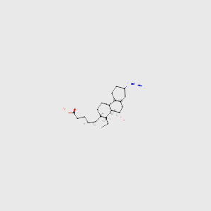 COC(=O)CC[C@@H](C)[C@H]1CC[C@H]2[C@@H]3[C@H](O)C[C@@H]4CC(N=[N+]=[N-])CC[C@]4(C)[C@H]3CC[C@]12C